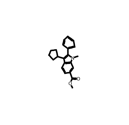 COC(=O)c1ccc2c(C3CCCC3)c(-c3ccccc3)n(C)c2c1